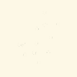 [Ce+4].[O]=[Cr](=[O])([O-])[O-].[O]=[Cr](=[O])([O-])[O-]